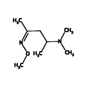 CO/N=C(/C)CC(C)N(C)C